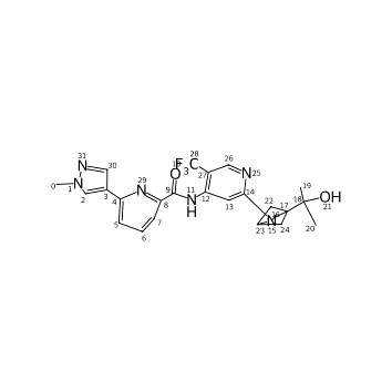 Cn1cc(-c2cccc(C(=O)Nc3cc(N4CC5(C(C)(C)O)CC4C5)ncc3C(F)(F)F)n2)cn1